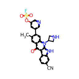 Cc1cc2c(=O)c3c4ccc(C#N)cc4[nH]c3n(C3CNC3)c2cc1-c1cncc(OS(=O)(=O)F)c1